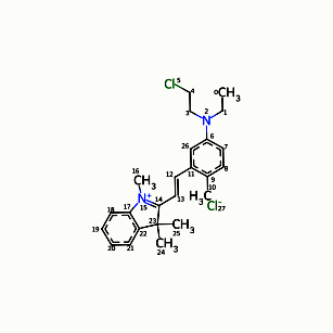 CCN(CCCl)c1ccc(C)c(C=CC2=[N+](C)c3ccccc3C2(C)C)c1.[Cl-]